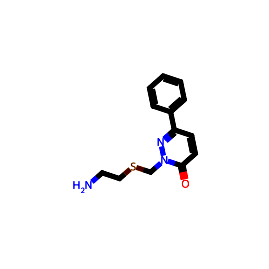 NCCSCn1nc(-c2ccccc2)ccc1=O